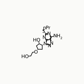 CCCSc1nc(N)c2nnn([C@@H]3C[C@H](OCCO)C[C@H]3O)c2n1